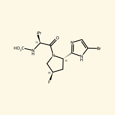 CC(C)[C@H](NC(=O)O)C(=O)N1C[C@H](F)C[C@H]1c1ncc(Br)[nH]1